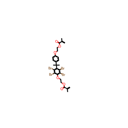 C=C(C)C(=O)OCCOc1ccc(C(C)(C)c2c(Br)c(Br)c(OCCOC(=O)C(=C)C)c(Br)c2Br)cc1